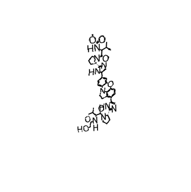 COC(=O)N[C@H](C(=O)N1CCC[C@H]1c1ncc(-c2ccc3c(c2)Oc2ccc(-c4cnc([C@@H]5CCCN5C(=O)[C@@H](NC(=O)CO)C(C)C)[nH]4)c4c2N3CC4)[nH]1)C(C)C